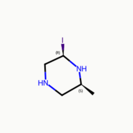 C[C@H]1CNC[C@@H](I)N1